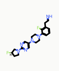 N=CCc1cccc(N2CCN(c3cnc(N4CC[C@@H](F)C4)nc3)CC2)c1F